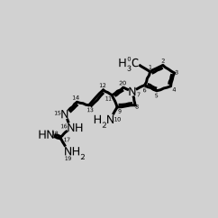 Cc1ccccc1-n1cc(N)c(/C=C/C=N\NC(=N)N)c1